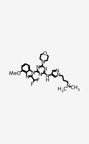 COc1cccc2c1nc(C(F)F)n2-c1nc(Nc2cnn(CCCN(C)C)c2)nc(N2CCOCC2)n1